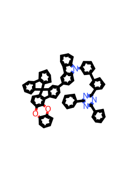 c1ccc(-c2nc(-c3ccccc3)nc(-c3cccc(-c4cccc(-n5c6ccccc6c6cc(-c7ccc8c(c7)C7(c9ccccc9-c9ccccc97)c7ccc9c(c7-8)Oc7ccccc7O9)ccc65)c4)c3)n2)cc1